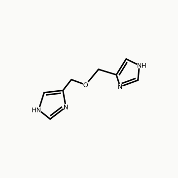 c1nc(COCc2c[nH]cn2)c[nH]1